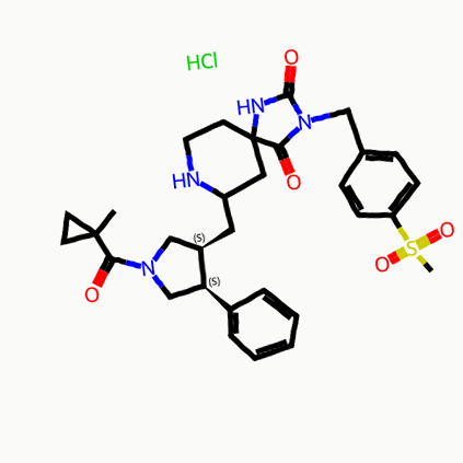 CC1(C(=O)N2C[C@@H](CC3CC4(CCN3)NC(=O)N(Cc3ccc(S(C)(=O)=O)cc3)C4=O)[C@@H](c3ccccc3)C2)CC1.Cl